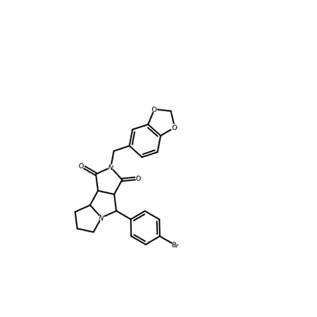 O=C1C2C(C(=O)N1Cc1ccc3c(c1)OCO3)C(c1ccc(Br)cc1)N1CCCC21